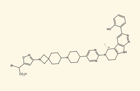 CC(C)C(C(=O)O)c1cc(N2CC3(CCC(N4CCC(c5cnc(N6CCc7[nH]c8nnc(-c9ccccc9O)cc8c7[C@H]6C)nc5)CC4)CC3)C2)no1